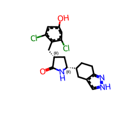 O=C1N[C@@H](C2CCc3n[nH]cc3C2)C[C@H]1Cc1c(Cl)cc(O)cc1Cl